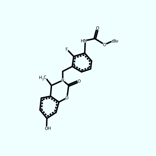 CC1c2ccc(O)cc2OC(=O)N1Cc1cccc(NC(=O)OC(C)(C)C)c1F